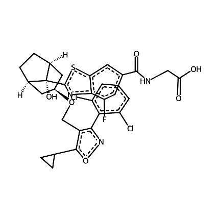 O=C(O)CNC(=O)c1cc(F)c2nc([C@@]3(O)[C@@H]4CC[C@H]3C[C@@H](OCc3c(-c5c(Cl)cccc5Cl)noc3C3CC3)C4)sc2c1